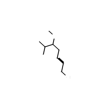 COC(CC=CCO)C(C)C